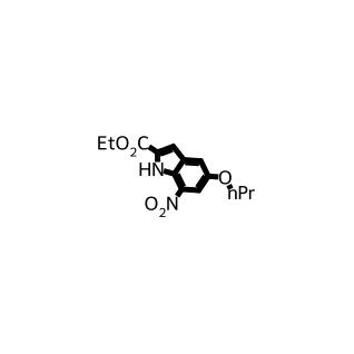 CCCOc1cc([N+](=O)[O-])c2[nH]c(C(=O)OCC)cc2c1